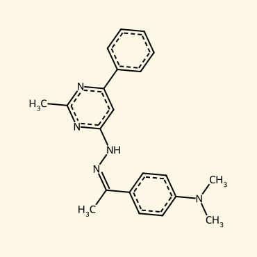 CC(=NNc1cc(-c2ccccc2)nc(C)n1)c1ccc(N(C)C)cc1